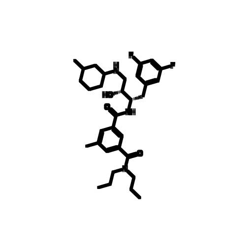 CCCN(CCC)C(=O)c1cc(C)cc(C(=O)N[C@@H](Cc2cc(F)cc(F)c2)[C@H](O)CNC2CCCC(C)C2)c1